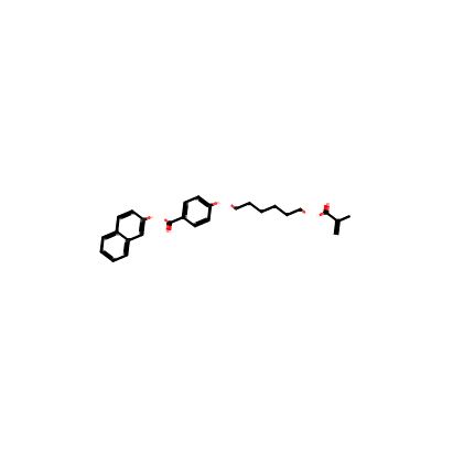 C=C(C)C(=O)OCCCCCCOc1ccc(C(=O)Oc2ccc3ccccc3c2)cc1